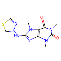 Cn1c(=O)c2c(nc(NN3CSC=N3)n2C)n(C)c1=O